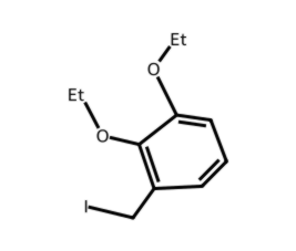 CCOc1cccc(CI)c1OCC